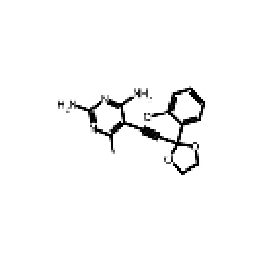 Cc1nc(N)nc(N)c1C#CC1(c2ccccc2Cl)OCCO1